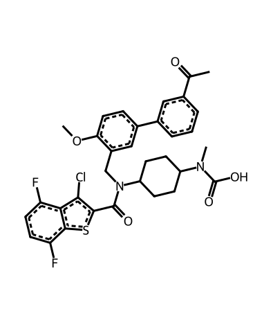 COc1ccc(-c2cccc(C(C)=O)c2)cc1CN(C(=O)c1sc2c(F)ccc(F)c2c1Cl)C1CCC(N(C)C(=O)O)CC1